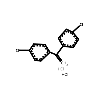 C=C(c1ccc(Cl)cc1)c1ccc(Cl)cc1.Cl.Cl